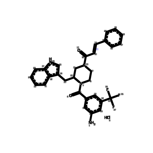 Cl.Nc1cc(C(=O)N2CCN(C(=O)/C=C/c3ccccc3)CC2Cc2c[nH]c3ccccc23)cc(C(F)(F)F)c1